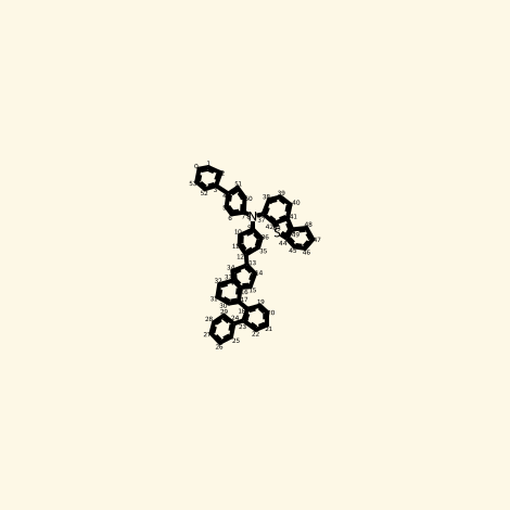 c1ccc(-c2ccc(N(c3ccc(-c4ccc5c(-c6ccccc6-c6ccccc6)cccc5c4)cc3)c3cccc4c3sc3ccccc34)cc2)cc1